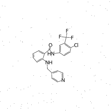 O=C(Nc1ccc(Cl)c(C(F)(F)F)c1)c1ccccc1NCc1ccncc1